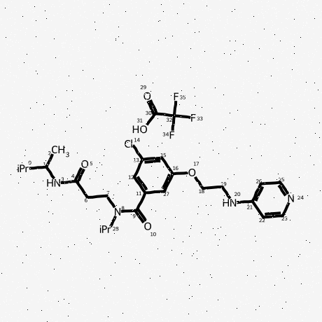 CC(C)C(C)NC(=O)CCN(C(=O)c1cc(Cl)cc(OCCNc2ccncc2)c1)C(C)C.O=C(O)C(F)(F)F